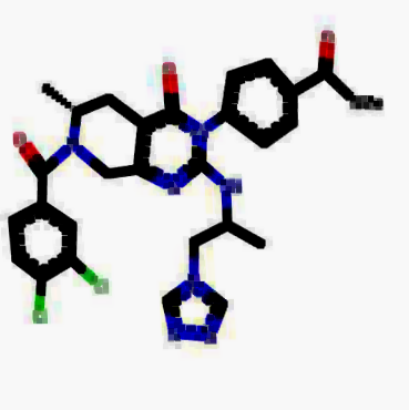 CNC(=O)c1ccc(-n2c(NC(C)Cn3cnnc3)nc3c(c2=O)C[C@@H](C)N(C(=O)c2ccc(Cl)c(Cl)c2)C3)cc1